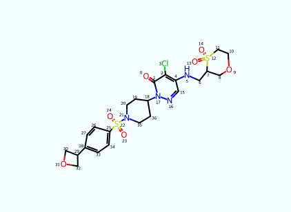 O=c1c(Cl)c(NCC2COCCS2(=O)=O)cnn1C1CCN(S(=O)(=O)c2ccc(C3COC3)cc2)CC1